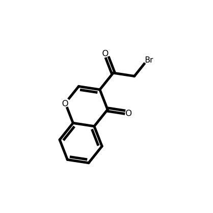 O=C(CBr)c1coc2ccccc2c1=O